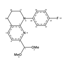 COC(OC)c1ccc2c(n1)N(c1ccc(F)cc1)CCC2